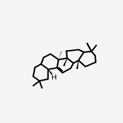 CC1(C)CCC2CC[C@]3(C)C(=CCC4[C@@]5(C)CCCC(C)(C)C5CC[C@]43C)[C@@H]2C1